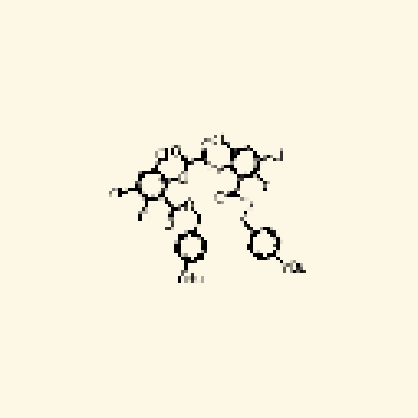 CCCCc1ccc(COC(=O)c2c(Cl)c(Cl)cc(Cl)c2OC(=O)C(=O)Oc2c(Cl)cc(Cl)c(Cl)c2C(=O)OCc2ccc(CCCC)cc2)cc1